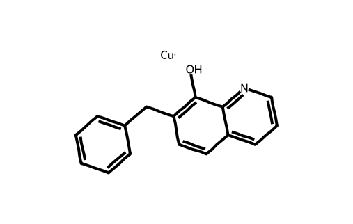 Oc1c(Cc2ccccc2)ccc2cccnc12.[Cu]